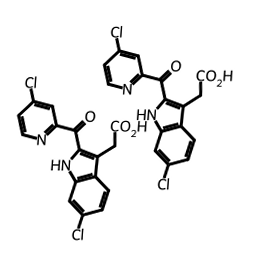 O=C(O)Cc1c(C(=O)c2cc(Cl)ccn2)[nH]c2cc(Cl)ccc12.O=C(O)Cc1c(C(=O)c2cc(Cl)ccn2)[nH]c2cc(Cl)ccc12